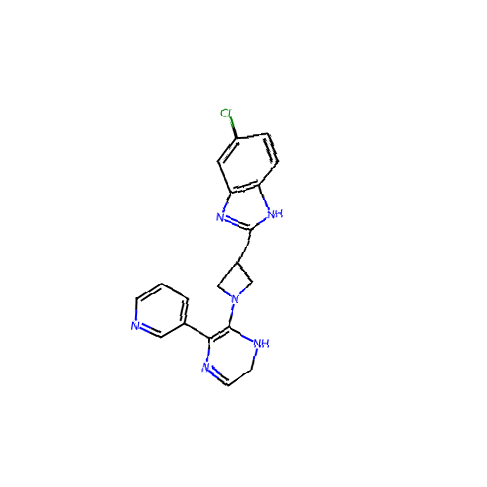 Clc1ccc2[nH]c(C3CN(C4=C(c5cccnc5)N=CCN4)C3)nc2c1